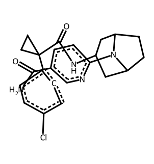 NC(=O)c1ccc(N2C3CCC2CC(NC(=O)C2(c4ccc(Cl)cc4)CC2)C3)nc1